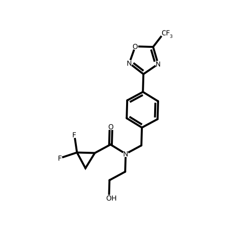 O=C(C1CC1(F)F)N(CCO)Cc1ccc(-c2noc(C(F)(F)F)n2)cc1